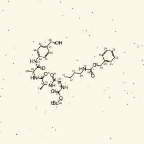 C[C@H](NC(=O)[C@H](C)NC(=O)[C@H](CCCCNC(=O)OCc1ccccc1)NC(=O)OC(C)(C)C)C(=O)Nc1ccc(CO)cc1